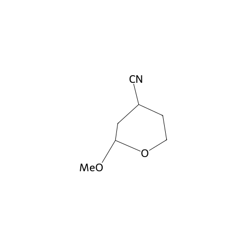 COC1CC(C#N)CCO1